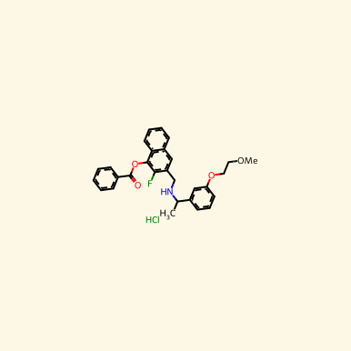 COCCOc1cccc(C(C)NCc2cc3ccccc3c(OC(=O)c3ccccc3)c2F)c1.Cl